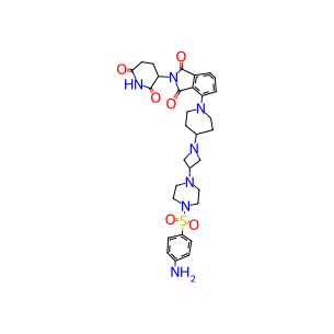 Nc1ccc(S(=O)(=O)N2CCN(C3CN(C4CCN(c5cccc6c5C(=O)N(C5CCC(=O)NC5=O)C6=O)CC4)C3)CC2)cc1